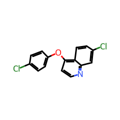 Clc1ccc(Oc2ccnc3cc(Cl)ccc23)cc1